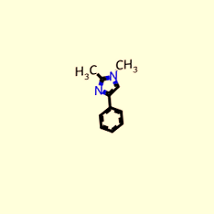 Cc1nc(-c2ccccc2)cn1C